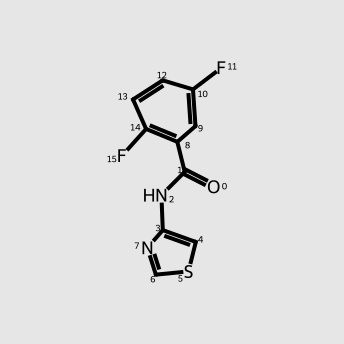 O=C(Nc1cscn1)c1cc(F)ccc1F